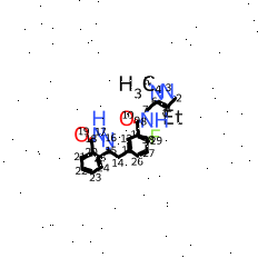 CCc1cnn(C)c1CNC(=O)c1cc(Cc2n[nH]c(=O)c3ccccc23)ccc1F